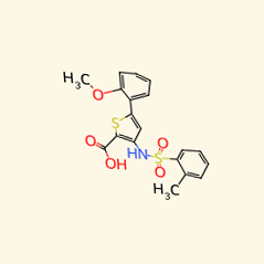 COc1ccccc1-c1cc(NS(=O)(=O)c2ccccc2C)c(C(=O)O)s1